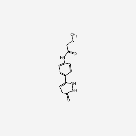 CSCC(=O)Nc1ccc(C2=CCC(=O)NN2)cc1